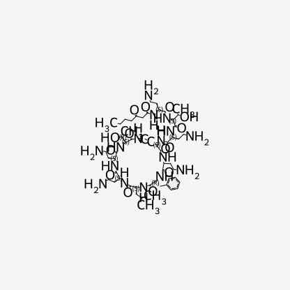 CCCCC(=O)CC(=O)N[C@@H](CCN)C(=O)N[C@H](C(=O)N[C@@H](CCN)C(=O)N[C@H]1CCNC(=O)[C@H]([C@@H](C)O)NC(=O)[C@H](CCN)NC(=O)[C@H](CCN)NC(=O)[C@H](CC(C)C)NC(=O)[C@@H](Cc2ccccc2)NC(=O)C(CCN)NC1=O)C(C)O